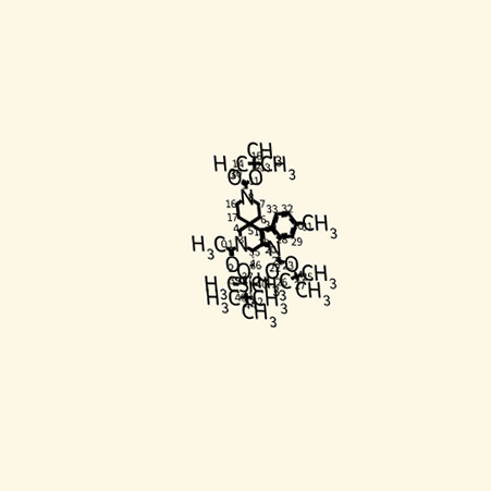 CC(=O)N1CC2(CCN(C(=O)OC(C)(C)C)CC2)c2c(n(C(=O)OC(C)(C)C)c3cc(C)ccc23)[C@@H]1CO[Si](C)(C)C(C)(C)C